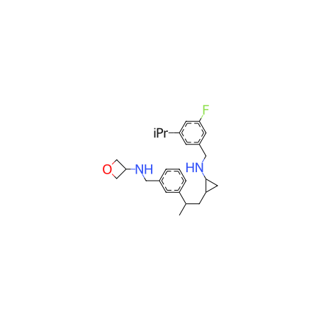 CC(C)c1cc(F)cc(CNC2CC2CC(C)c2cccc(CNC3COC3)c2)c1